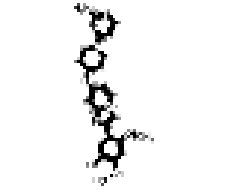 COC1=CC(OC)=C(Cl)CC1c1cn2ccc(OC3CCN(c4ccnc(N)n4)CC3)cc2n1